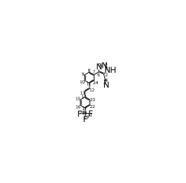 N#Cc1[nH]nnc1-c1cccc(/C=C/c2ccc(C(F)(F)F)cc2)c1